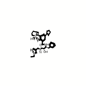 CCn1cc(CNC[C@@H](O)[C@H](Cc2ccccc2)NC(=O)c2cc(C3CCCC3)cc(N3CCCCS3(O)O)c2F)cn1